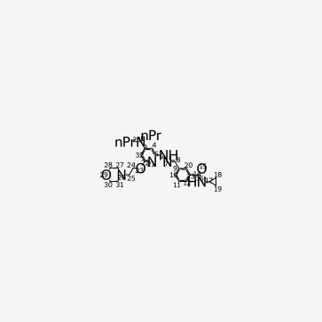 CCCN(CCC)c1cc(N/N=C/c2cccc(C(=O)NC3CC3)c2)nc(OCCN2CCOCC2)c1